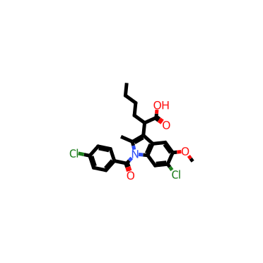 CCCCC(C(=O)O)c1c(C)n(C(=O)c2ccc(Cl)cc2)c2cc(Cl)c(OC)cc12